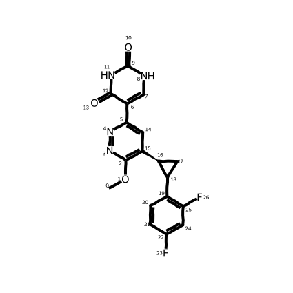 COc1nnc(-c2c[nH]c(=O)[nH]c2=O)cc1[C@H]1CC1c1ccc(F)cc1F